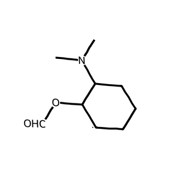 CN(C)C1CCC[CH]C1OC=O